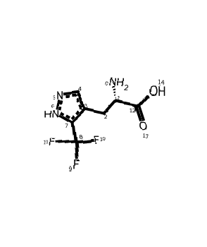 N[C@@H](Cc1cn[nH]c1C(F)(F)F)C(=O)O